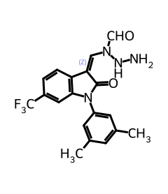 Cc1cc(C)cc(N2C(=O)/C(=C\N(C=O)NN)c3ccc(C(F)(F)F)cc32)c1